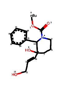 CCCCOC(=O)N1CCCC(O)(C=CCO)C1c1ccccc1